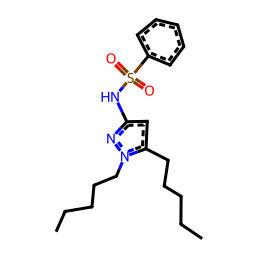 CCCCCc1cc(NS(=O)(=O)c2ccccc2)nn1CCCCC